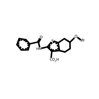 CC(C)OC1CCc2c(sc(NC(=O)c3ccccc3)c2C(=O)O)C1